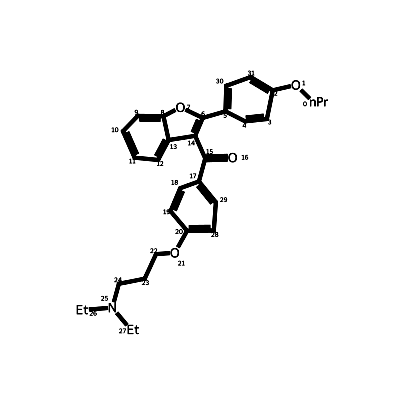 CCCOc1ccc(-c2oc3ccccc3c2C(=O)c2ccc(OCCCN(CC)CC)cc2)cc1